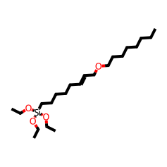 CCCCCCCCOCC=CCCCCC[Si](OCC)(OCC)OCC